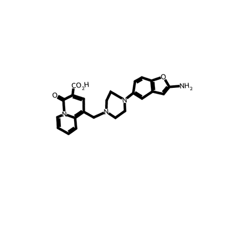 Nc1cc2cc(N3CCN(Cc4cc(C(=O)O)c(=O)n5ccccc45)CC3)ccc2o1